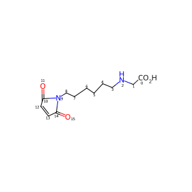 O=C(O)CNCCCCCCN1C(=O)C=CC1=O